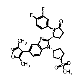 Cc1noc(C)c1-c1ccc2c(c1)nc([C@@H]1CCC(=O)N1c1ccc(F)c(F)c1)n2[C@@H]1CCN(S(C)(=O)=O)C1